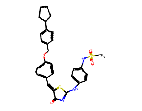 O=C1N=C(Nc2ccc(NS(=O)(=O)C(F)(F)F)cc2)SC1=Cc1ccc(OCc2ccc(C3CCCC3)cc2)cc1